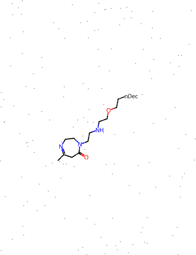 CCCCCCCCCCCCOCCNCCN1CCN=C(C)CC1=O